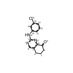 O=C1CCCc2cnc(Nc3cccc(Cl)c3)nc21